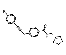 O=C(NC[C@@H]1CCCO1)c1ccc(CC#Cc2ccc(F)cc2)cc1